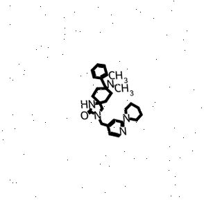 CN(C)C1(c2ccccc2)CCC2(CC1)CN(Cc1ccnc(N3CCCCC3)c1)C(=O)N2